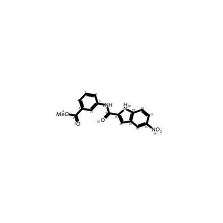 COC(=O)c1cccc(NC(=O)c2cc3cc([N+](=O)[O-])ccc3[nH]2)c1